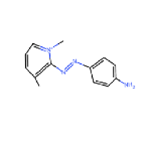 Cc1ccc[n+](C)c1N=Nc1ccc(N)cc1